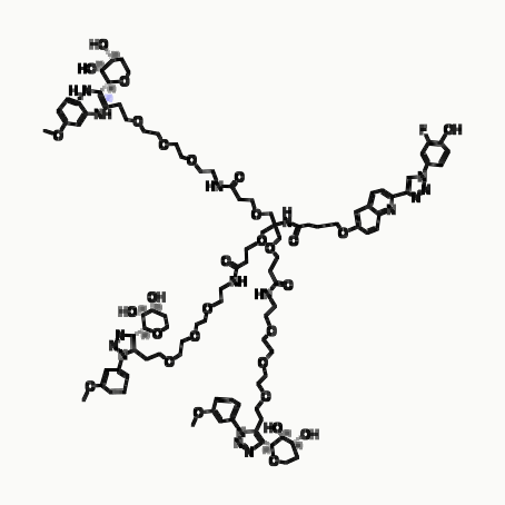 COc1cccc(N/C(CCOCCOCCOCCNC(=O)CCOCC(COCCC(=O)NCCOCCOCCOCCc2c([C@H]3OCC[C@@H](O)[C@H]3O)nnn2-c2cccc(OC)c2)(COCCC(=O)NCCOCCOCCOCCc2c([C@H]3OCC[C@@H](O)[C@H]3O)nnn2-c2cccc(OC)c2)NC(=O)CCCOc2ccc3nc(-c4cn(-c5ccc(O)c(F)c5)nn4)ccc3c2)=C(\N)[C@H]2OCC[C@@H](O)[C@H]2O)c1